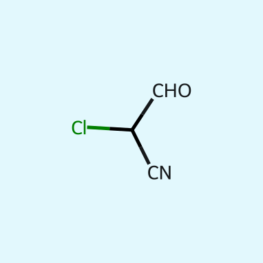 N#CC(Cl)C=O